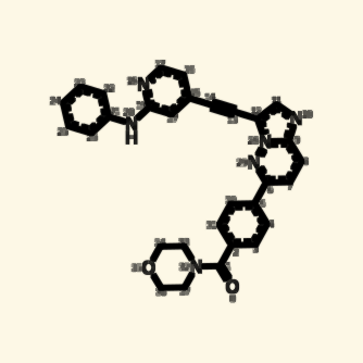 O=C(c1ccc(-c2ccc3ncc(C#Cc4ccnc(Nc5ccccc5)c4)n3n2)cc1)N1CCOCC1